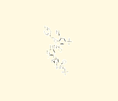 Cc1ncc(NC(=O)c2cc(C(C)(C)C)cc(C#N)c2OCCN2CCN(C)CC2)cc1-n1cc(C(=O)NCC(C)(C)C)nn1